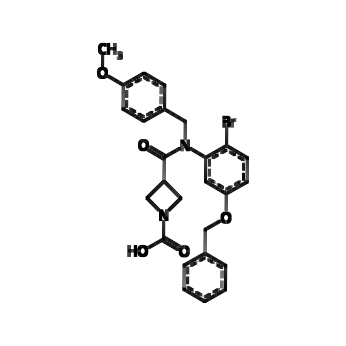 COc1ccc(CN(C(=O)C2CN(C(=O)O)C2)c2cc(OCc3ccccc3)ccc2Br)cc1